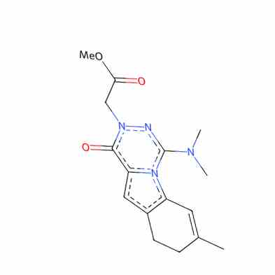 COC(=O)Cn1nc(N(C)C)n2c3c(cc2c1=O)CCC(C)=C3